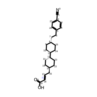 N#Cc1ccc(CC[C@H]2CC[C@H]([C@H]3CC[C@H](C/C=C/C(=O)O)CC3)CC2)cc1